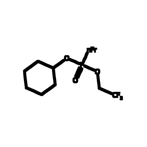 CCCP(=O)(OCC(F)(F)F)OC1CCCCC1